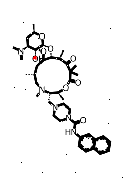 CO[C@]1(C)C[C@@H](C)CN(C)[C@@H](CN2CCN(C(=O)Nc3ccc4ccccc4c3)CC2)[C@H](C)OC(=O)C(C)(C)C(=O)[C@H](C)[C@H]1O[C@@H]1O[C@H](C)C[C@H](N(C)C)[C@H]1O